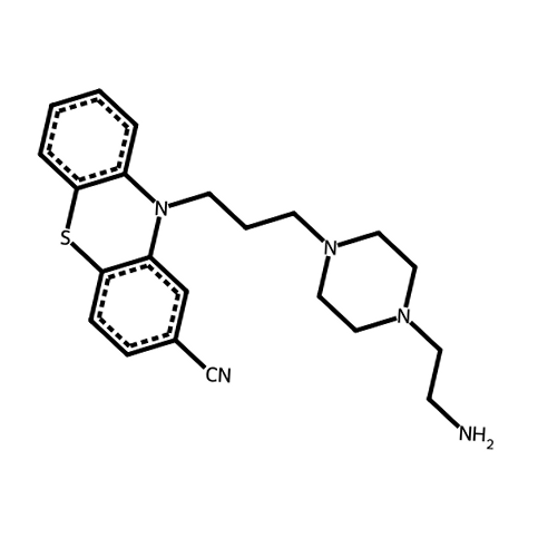 N#Cc1ccc2c(c1)N(CCCN1CCN(CCN)CC1)c1ccccc1S2